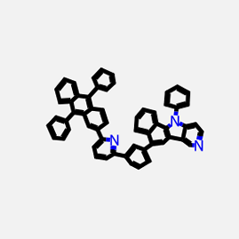 c1ccc(-c2c3ccccc3c(-c3ccccc3)c3cc(-c4cccc(-c5cccc(-c6cc7c8cnccc8n(-c8ccccc8)c7c7ccccc67)c5)n4)ccc23)cc1